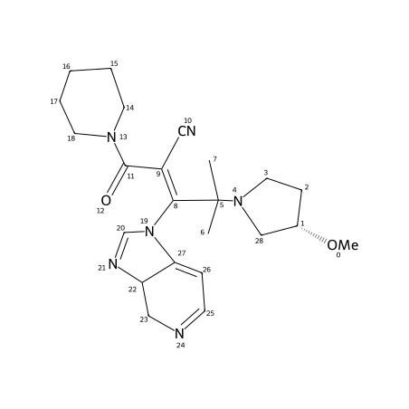 CO[C@H]1CCN(C(C)(C)C(=C(C#N)C(=O)N2CCCCC2)N2C=NC3CN=CC=C32)C1